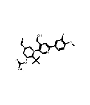 COc1ccc(-c2cc(CO)c(N3C[C@H](CF)C[C@@H](OC(N)=O)C3C(C)(C)C)cn2)cc1F